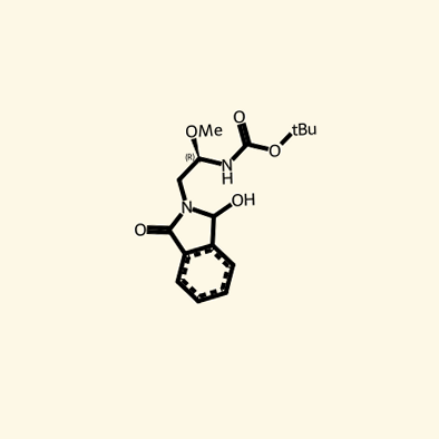 CO[C@H](CN1C(=O)c2ccccc2C1O)NC(=O)OC(C)(C)C